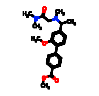 COC(=O)c1ccc(-c2ccc(C(C)N(C)CC(=O)N(C)C)cc2OC)cc1